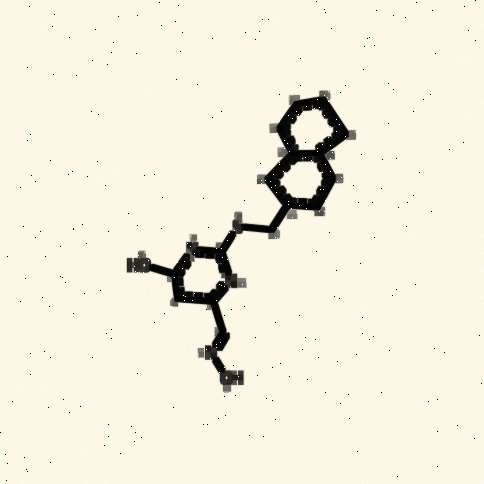 ON=Cc1cc(O)nc(SCc2ccc3ccccc3c2)n1